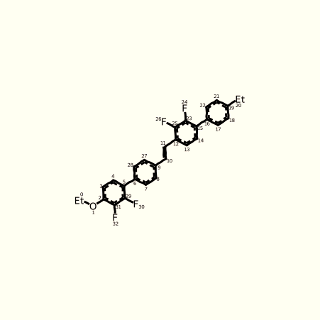 CCOc1ccc(-c2ccc(/C=C/c3ccc(-c4ccc(CC)cc4)c(F)c3F)cc2)c(F)c1F